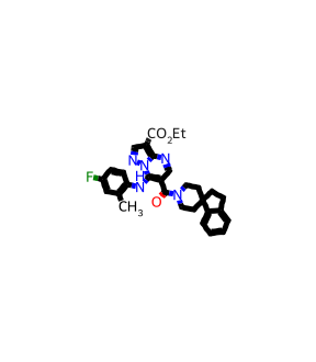 CCOC(=O)c1cnn2c(Nc3ccc(F)cc3C)c(C(=O)N3CCC4(CCc5ccccc54)CC3)cnc12